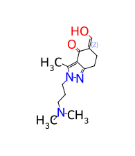 Cc1c2c(nn1CCCN(C)C)CC/C(=C/O)C2=O